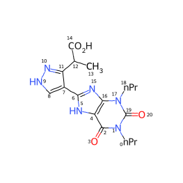 CCCn1c(=O)c2[nH]c(-c3c[nH]nc3C(C)C(=O)O)nc2n(CCC)c1=O